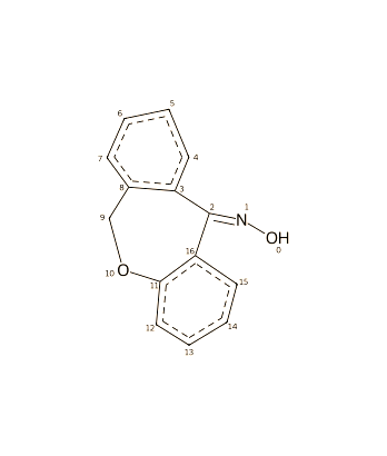 ON=C1c2ccccc2COc2ccccc21